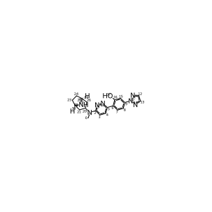 CN(c1ccc(-c2ccc(-n3nccn3)cc2O)nn1)C1C[C@H]2CC[C@@H](C1)N2